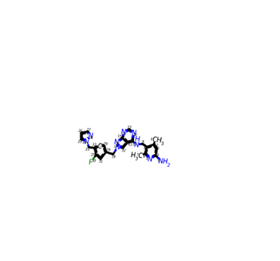 Cc1cc(N)nc(C)c1CNc1ncnc2nn(Cc3ccc(Cn4cccn4)c(F)c3)cc12